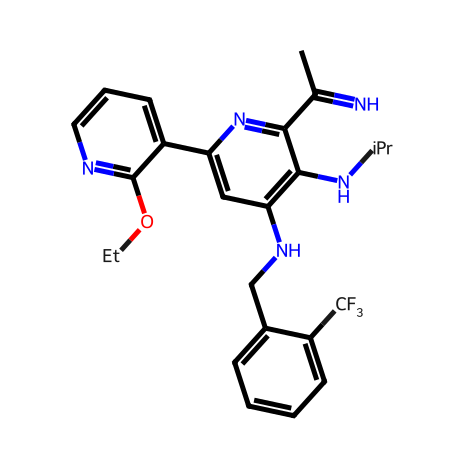 CCOc1ncccc1-c1cc(NCc2ccccc2C(F)(F)F)c(NC(C)C)c(C(C)=N)n1